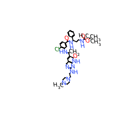 C=C(Nc1cc(C(=O)NC(CCNC(=O)OC(C)(C)C)c2ccccc2)ccc1Cl)c1cc2cnc(NCCN3CCN(C)CC3)nc2[nH]c1=O